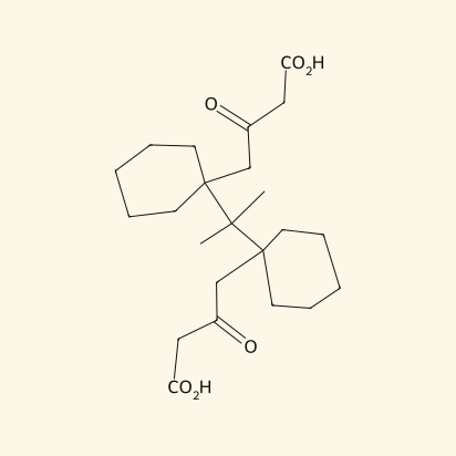 CC(C)(C1(CC(=O)CC(=O)O)CCCCC1)C1(CC(=O)CC(=O)O)CCCCC1